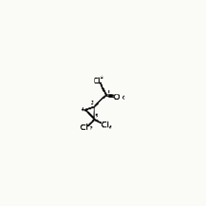 O=C(Cl)C1CC1(Cl)Cl